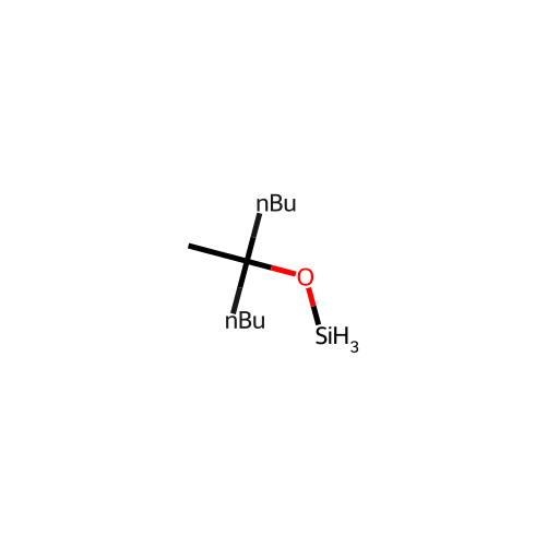 CCCCC(C)(CCCC)O[SiH3]